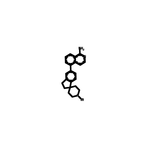 CCN1CCC2(CCc3cc(-c4cccc5c(N)nccc45)ccc32)CC1